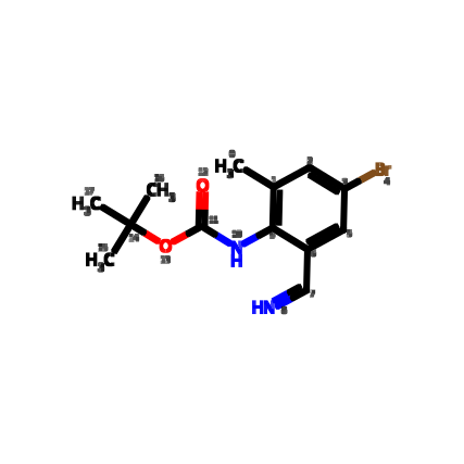 Cc1cc(Br)cc(C=N)c1NC(=O)OC(C)(C)C